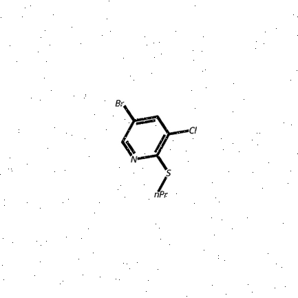 CCCSc1ncc(Br)cc1Cl